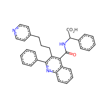 O=C(NC(C(=O)O)c1ccccc1)c1c(CCCc2ccncc2)c(-c2ccccc2)nc2ccccc12